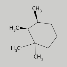 C[C@H]1CCCC(C)(C)[C@H]1C